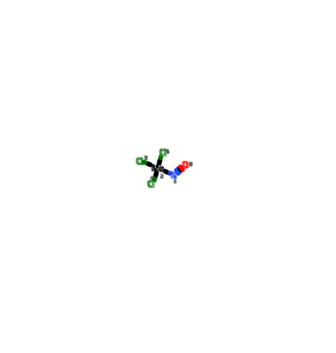 O=[N][Mo]([Cl])([Cl])[Cl]